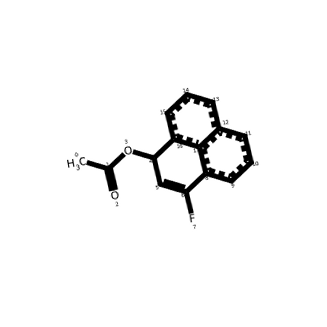 CC(=O)OC1C=C(F)c2cccc3cccc1c23